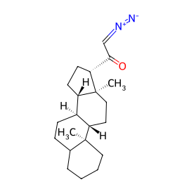 C[C@]12CC[C@H]3[C@@H](CCC4CCCC[C@@]43C)[C@@H]1CC[C@@H]2C(=O)C=[N+]=[N-]